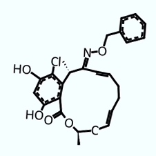 C[C@@H]1C/C=C/CC/C=C/C(=N\OCc2ccccc2)[C@@H](C)c2c(Cl)c(O)cc(O)c2C(=O)O1